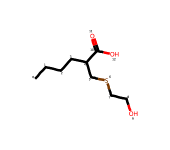 CCCCC(CSCCO)C(=O)O